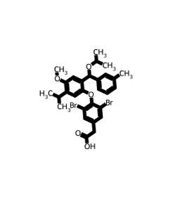 COc1cc(C(OC(C)C)c2cccc(C)c2)c(Oc2c(Br)cc(CC(=O)O)cc2Br)cc1C(C)C